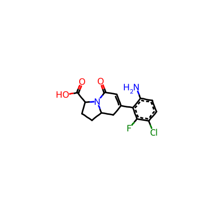 Nc1ccc(Cl)c(F)c1C1=CC(=O)N2C(CCC2C(=O)O)C1